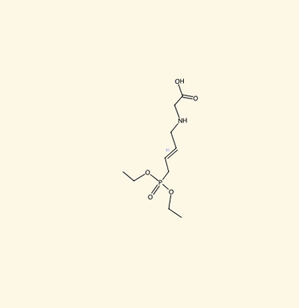 CCOP(=O)(C/C=C/CNCC(=O)O)OCC